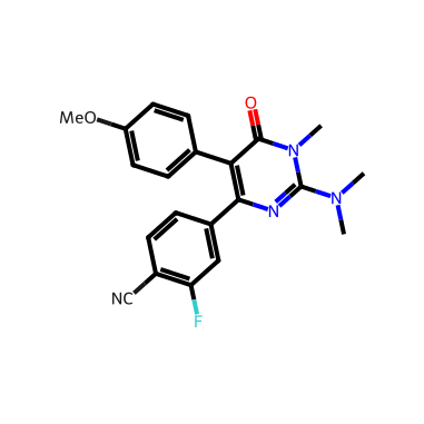 COc1ccc(-c2c(-c3ccc(C#N)c(F)c3)nc(N(C)C)n(C)c2=O)cc1